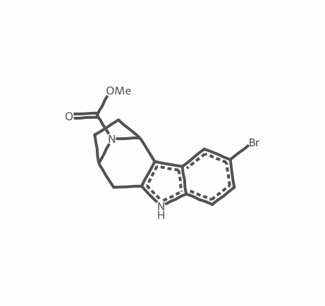 COC(=O)N1C2CCC1c1c([nH]c3ccc(Br)cc13)C2